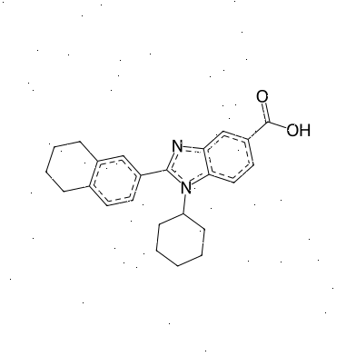 O=C(O)c1ccc2c(c1)nc(-c1ccc3c(c1)CCCC3)n2C1CCCCC1